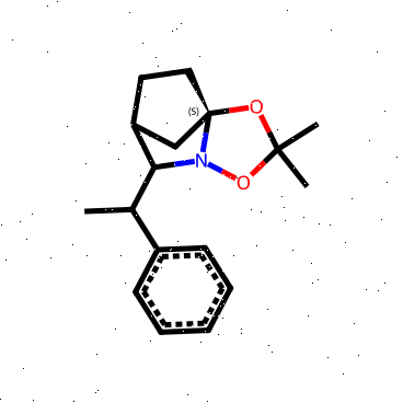 CC(c1ccccc1)C1C2CC[C@@]3(C2)OC(C)(C)ON13